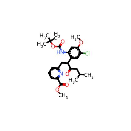 COC(=O)c1cccc(CC(C(=O)CC(C)C)c2cc(Cl)c(OC)cc2NC(=O)OC(C)(C)C)n1